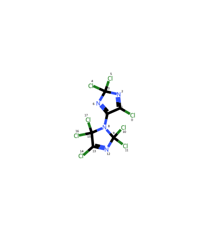 ClC1=NC(Cl)(Cl)N=C1N1C(Cl)(Cl)N=C(Cl)C1(Cl)Cl